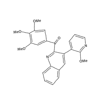 COc1cc(C(=O)c2nc3ccccc3cc2-c2cccnc2OC)cc(OC)c1OC